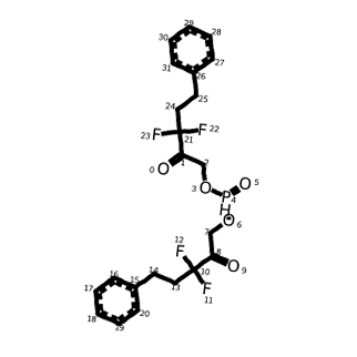 O=C(CO[PH](=O)OCC(=O)C(F)(F)CCc1ccccc1)C(F)(F)CCc1ccccc1